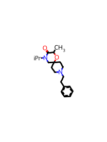 CC1OC2(CCN(CCc3ccccc3)CC2)CN(C(C)C)C1=O